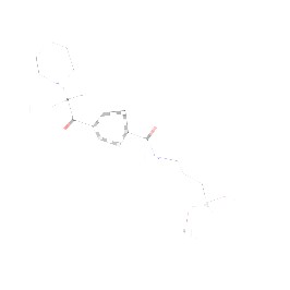 CO[Si](CCCNC(=O)c1ccc(C(=O)C(C)(C)N2CCOCC2)cc1)(OC)OC